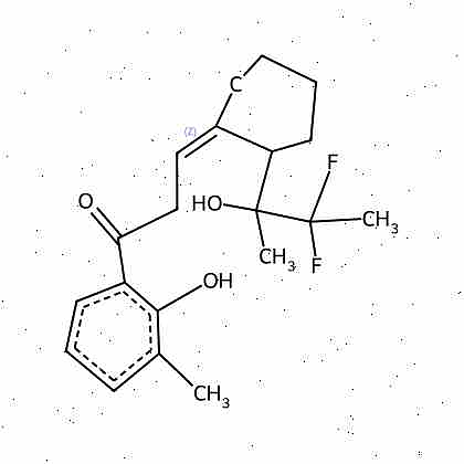 Cc1cccc(C(=O)C/C=C2/CCCCC2C(C)(O)C(C)(F)F)c1O